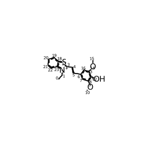 CC[n+]1c(/C=C/c2cc(OC)c(O)c(OC)c2)sc2ccccc21